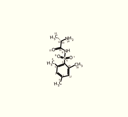 Cc1cc(C)c(S(=O)(=O)NC(=O)[C@H](C)N)c(C)c1